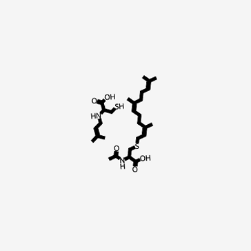 CC(=O)NC(CSCC=C(C)CCC=C(C)CCC=C(C)C)C(=O)O.CC(C)=CCNC(CS)C(=O)O